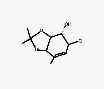 CC1(C)OC2C(I)=CC(Cl)[C@@H](O)C2O1